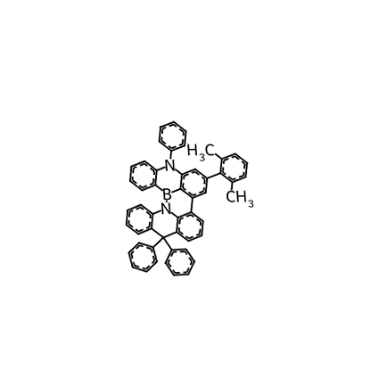 Cc1cccc(C)c1-c1cc2c3c(c1)N(c1ccccc1)c1ccccc1B3N1c3ccccc3C(c3ccccc3)(c3ccccc3)c3cccc-2c31